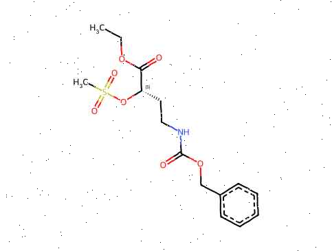 CCOC(=O)[C@H](CCNC(=O)OCc1ccccc1)OS(C)(=O)=O